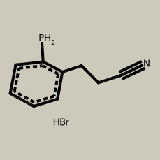 Br.N#CCCc1ccccc1P